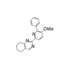 COc1ccc(-c2ncc3c(n2)CCCC3)nc1-c1ccccc1